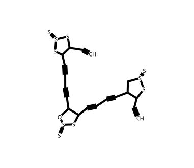 C#CC1SS(=S)CC1C#CC#CC1SS(=S)OC1C#CC#CC1SS(=S)SC1C#C